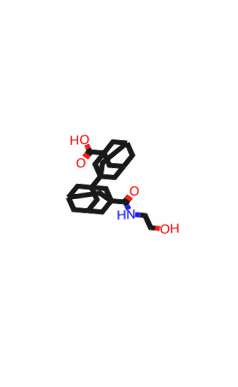 O=C(O)C12CC3CC(C1)CC(C14CC5CC(CC(C(=O)NCCO)(C5)C1)C4)(C3)C2